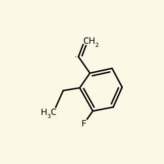 C=[C]c1cccc(F)c1CC